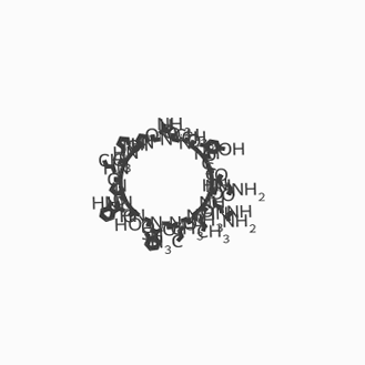 CCCC[C@@H]1NC(=O)[C@H](Cc2ccc[nH]2)NC(=O)[C@@H]2CCCN2C(=O)[C@H](CC(N)=O)NC(=O)[C@H](C)N(C)C(=O)[C@H](Cc2ccc(O)cc2)NC(=O)CSC[C@@H](C(=O)NCC(N)=O)NC(=O)[C@H](CCCNC(=N)N)NC(=O)[C@H](CCCC)N(C)C(=O)[C@H](CCCC)N(C)C(=O)[C@H](Cc2csc3ccccc23)NC(=O)[C@H](CO)NC(=O)[C@H](Cc2c[nH]c3ccccc23)NC(=O)[C@@H]2CCCN2C1=O